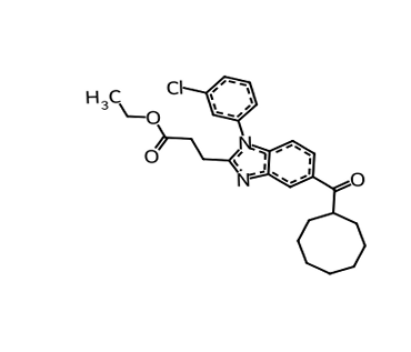 CCOC(=O)CCc1nc2cc(C(=O)C3CCCCCCC3)ccc2n1-c1cccc(Cl)c1